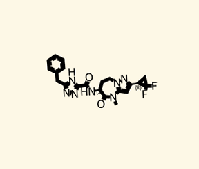 CN1C(=O)[C@@H](NC(=O)c2nnc(Cc3ccccc3)[nH]2)CCn2nc([C@H]3CC3(F)F)cc21